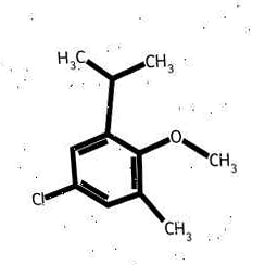 COc1c(C)cc(Cl)cc1C(C)C